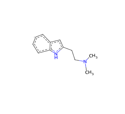 CN(C)CCc1cc2c[c]ccc2[nH]1